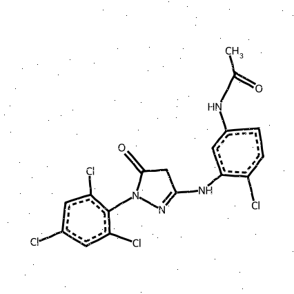 CC(=O)Nc1ccc(Cl)c(NC2=NN(c3c(Cl)cc(Cl)cc3Cl)C(=O)C2)c1